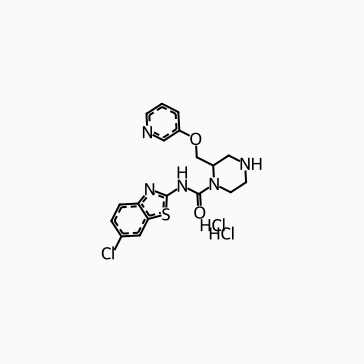 Cl.Cl.O=C(Nc1nc2ccc(Cl)cc2s1)N1CCNCC1COc1cccnc1